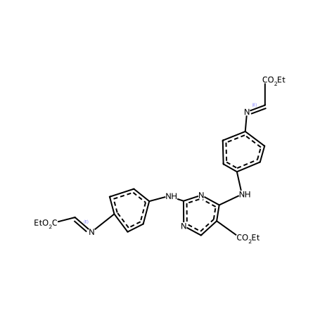 CCOC(=O)/C=N/c1ccc(Nc2ncc(C(=O)OCC)c(Nc3ccc(/N=C/C(=O)OCC)cc3)n2)cc1